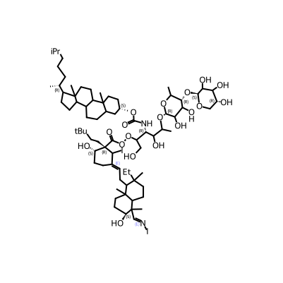 CCC1(C)CCC2C(C)(CC[C@H](O)C2(C)/C=N/I)C1C/C=C1\CC[C@H](O)[C@](CCC(C)(C)C)(C(=O)OOC(CO)[C@H](NC(=O)O[C@H]2CCC3(C)C(CCC4C3CCC3(C)C4CCC3[C@H](C)CCCC(C)C)C2)C(O)C(C)O[C@@H]2OC(C)[C@H](O[C@@H]3OC[C@@H](O)C(O)C3O)C(O)C2O)C1I